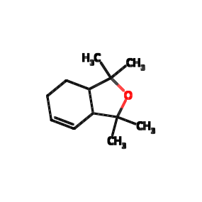 CC1(C)OC(C)(C)C2CCC=CC21